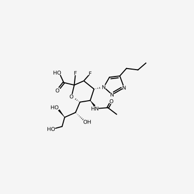 CCCc1cn([C@H]2C(F)C(F)(C(=O)O)O[C@@H]([C@H](O)[C@H](O)CO)[C@@H]2NC(C)=O)nn1